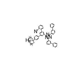 C[C@@H]1C[C@@H]2C[C@H](C)CC(c3ccc(-c4cc(-c5nc(-c6cccc(-c7ccccc7)c6)nc(-c6cccc(-c7ccccc7)c6)n5)cc(-c5ccccc5C#N)c4)cc3)(C1)C2